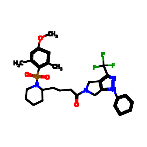 COc1cc(C)c(S(=O)(=O)N2CCCCC2CCCC(=O)N2Cc3c(C(F)(F)F)nn(-c4ccccc4)c3C2)c(C)c1